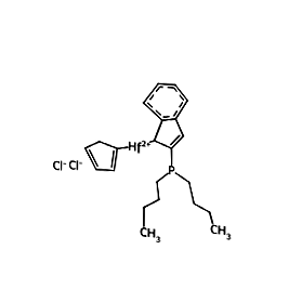 CCCCP(CCCC)C1=Cc2ccccc2[CH]1[Hf+2][C]1=CC=CC1.[Cl-].[Cl-]